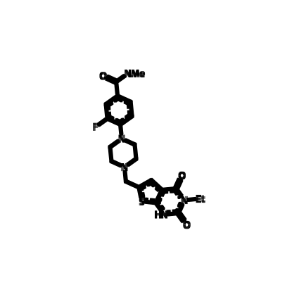 CCn1c(=O)[nH]c2sc(CN3CCN(c4ccc(C(=O)NC)cc4F)CC3)cc2c1=O